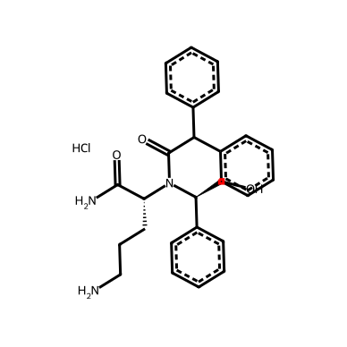 Cl.NCCC[C@H](C(N)=O)N(C(=O)C(c1ccccc1)c1ccccc1)[C@@H](CO)c1ccccc1